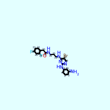 Nc1cccc(Nc2ncc(Br)c(NCCCNC(=O)Cc3ccc(F)cc3F)n2)c1